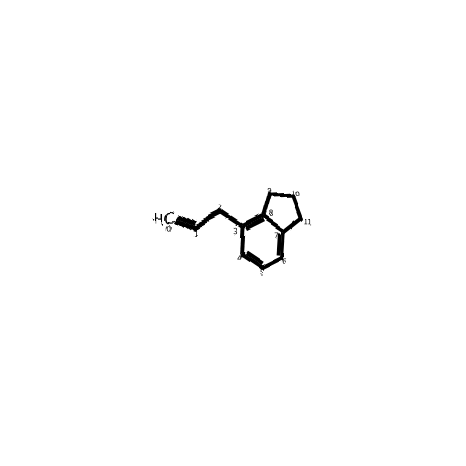 [CH]=CCc1cccc2c1CCC2